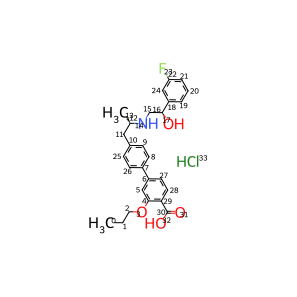 CCCOc1cc(-c2ccc(C[C@@H](C)NC[C@H](O)c3cccc(F)c3)cc2)ccc1C(=O)O.Cl